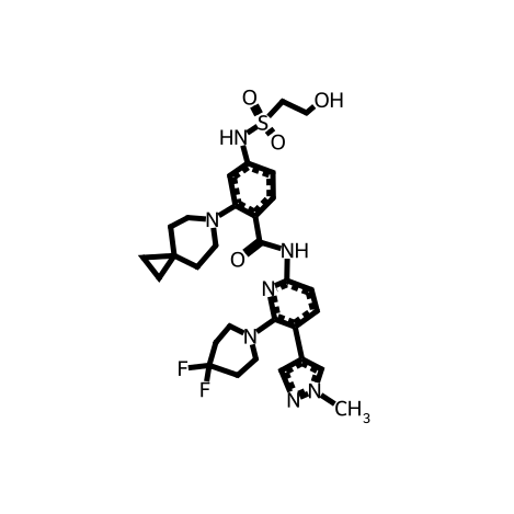 Cn1cc(-c2ccc(NC(=O)c3ccc(NS(=O)(=O)CCO)cc3N3CCC4(CC3)CC4)nc2N2CCC(F)(F)CC2)cn1